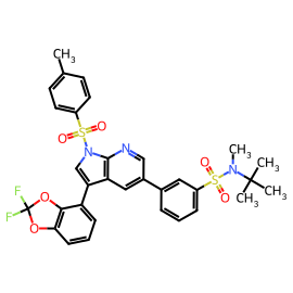 Cc1ccc(S(=O)(=O)n2cc(-c3cccc4c3OC(F)(F)O4)c3cc(-c4cccc(S(=O)(=O)N(C)C(C)(C)C)c4)cnc32)cc1